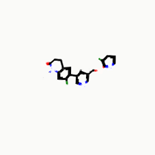 Cc1c(COc2ncccc2F)cncc1-c1cc2c(cc1F)N(C)C(=O)CC2